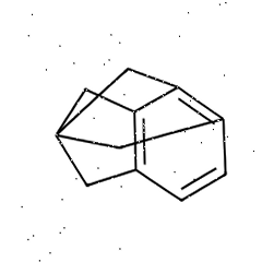 c1cc2c3c4c1CC(C2)(C4)C3